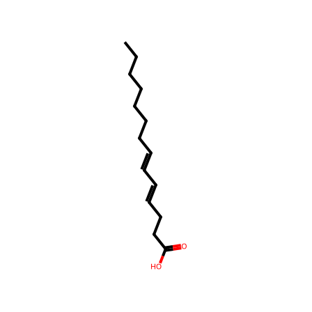 CCCCCCCC=CC=CCCC(=O)O